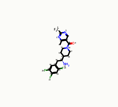 Cc1nc(C(F)(F)F)ncc1C(=O)N1CCC([C@H](N)Cc2cc(F)c(F)cc2F)CC1